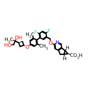 Cc1cc(O[C@H]2C[C@H]([C@@](C)(O)CO)C2)cc(C)c1-c1cc(COc2cc3c(cn2)[C@H]2[C@@H](C3)[C@@H]2C(=O)O)c(F)cc1F